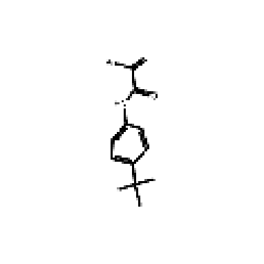 C=C(Br)C(=O)Nc1ccc(C(C)(C)C)cc1